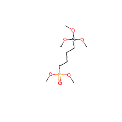 CO[Si](CCCCP(=O)(OC)OC)(OC)OC